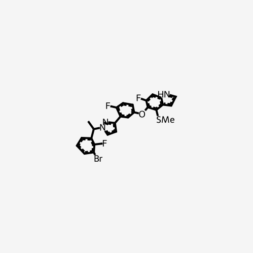 CSc1c(Oc2ccc(F)c(-c3ccn(C(C)c4cccc(Br)c4F)n3)c2)c(F)cc2[nH]ccc12